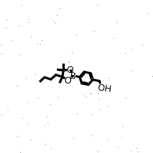 CCCCC1(C)OB(c2ccc(CO)cc2)OC1(C)C